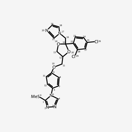 CSc1nncn1-c1ccc(OCC2COC(Cn3ccnc3)(c3ccc(Cl)cc3Cl)O2)cc1